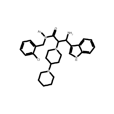 CC(=O)N(Cc1ccccc1Cl)C(=O)C(C(N)c1c[nH]c2ccccc12)N1CCC(N2CCCCC2)CC1